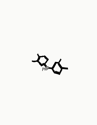 Cc1ccc(Bc2ccc(C)c(C)c2)cc1C